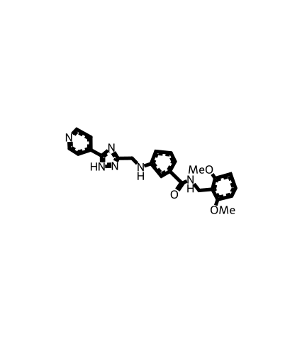 COc1cccc(OC)c1CNC(=O)c1cccc(NCc2n[nH]c(-c3ccncc3)n2)c1